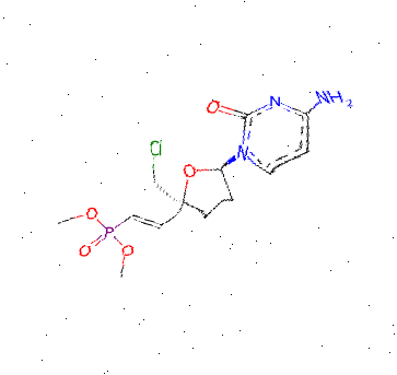 COP(=O)(/C=C/[C@]1(CCl)CC[C@H](n2ccc(N)nc2=O)O1)OC